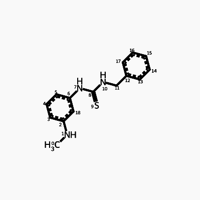 CNc1cccc(NC(=S)NCc2ccccc2)c1